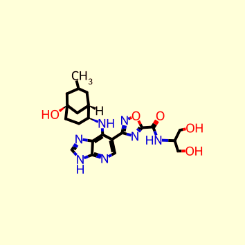 CC1C[C@H]2C[C@](O)(CC[C@@H]2Nc2c(-c3noc(C(=O)NC(CO)CO)n3)cnc3[nH]cnc23)C1